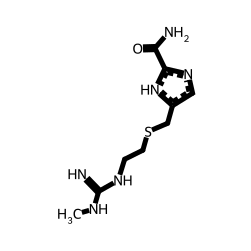 CNC(=N)NCCSCc1cnc(C(N)=O)[nH]1